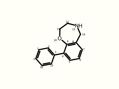 c1ccc(-c2cccc3c2OCCNC3)cc1